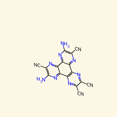 N#Cc1nc2c(nc1N)c1nc(C#N)c(N)nc1c1nc(C#N)c(C#N)nc21